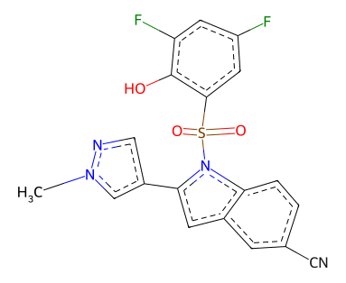 Cn1cc(-c2cc3cc(C#N)ccc3n2S(=O)(=O)c2cc(F)cc(F)c2O)cn1